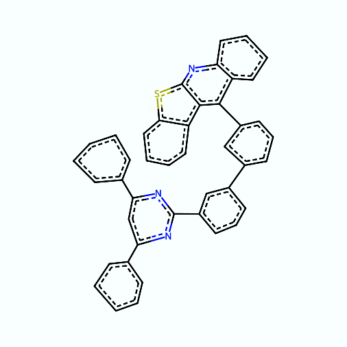 c1ccc(-c2cc(-c3ccccc3)nc(-c3cccc(-c4cccc(-c5c6ccccc6nc6sc7ccccc7c56)c4)c3)n2)cc1